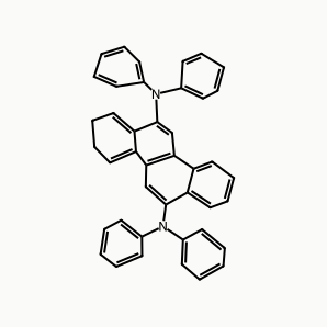 C1=c2c(N(c3ccccc3)c3ccccc3)cc3c(cc(N(c4ccccc4)c4ccccc4)c4ccccc43)c2=CCC1